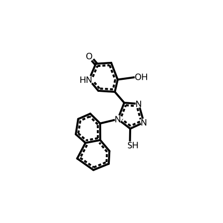 O=c1cc(O)c(-c2nnc(S)n2-c2cccc3ccccc23)c[nH]1